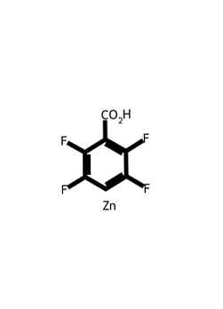 O=C(O)c1c(F)c(F)cc(F)c1F.[Zn]